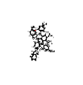 Cc1cc2c3c(c1)N(c1c(C)cc(C(C)(C)C)cc1C)c1c(oc4ccc(C(C)(C)C)cc14)B3c1ccc(-c3cc4ccccc4o3)cc1N2c1c(C)cc(C(C)(C)C)cc1C